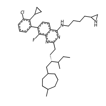 CCC(C)[C@@H](CCc1nc(NCCCCC2CN2)c2ccc(-c3cccc(Cl)c3C3CC3)c(F)c2n1)CC1CCCC(C)CC1